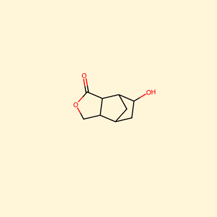 O=C1OCC2C3CC(O)C(C3)C12